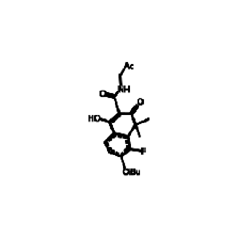 CC(=O)CNC(=O)C1=C(O)c2ccc(OCC(C)C)c(F)c2C(C)(C)C1=O